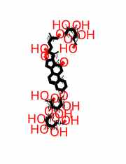 C[C@H](CCC1(O)OC2CC3C4CC=C5C[C@@H](O[C@@H]6O[C@H](CO)[C@H](O[C@@H]7O[C@H](CO)[C@@H](O)[C@H](O)[C@H]7O)[C@H](O)[C@H]6O)CC[C@]5(C)C4CC(=O)[C@]3(C)C2[C@@H]1C)CO[C@@H]1O[C@H](CO)[C@@H](O)[C@H](O)[C@H]1O